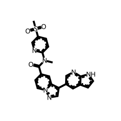 CN(C(=O)c1ccn2ncc(-c3cnc4[nH]ccc4c3)c2c1)c1ccc(S(C)(=O)=O)cn1